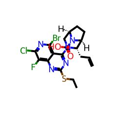 C=CC[C@H]1[C@@H]2CC[C@H](CN1c1nc(SCC)nc3c(F)c(Cl)nc(Br)c13)N2C(=O)O